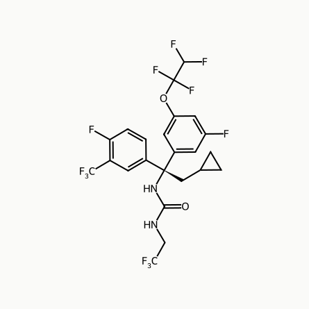 O=C(NCC(F)(F)F)N[C@@](CC1CC1)(c1cc(F)cc(OC(F)(F)C(F)F)c1)c1ccc(F)c(C(F)(F)F)c1